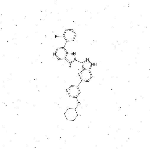 Fc1ccccc1-c1cncc2[nH]c(-c3n[nH]c4ccc(-c5cncc(OC6CCCCC6)c5)nc34)nc12